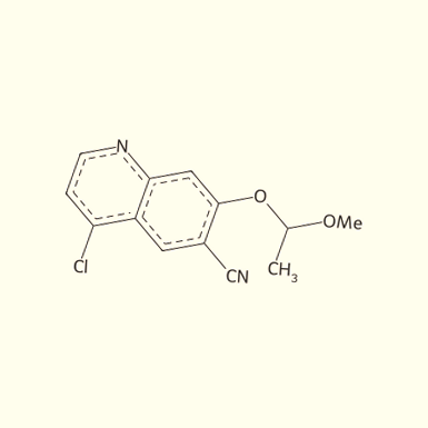 COC(C)Oc1cc2nccc(Cl)c2cc1C#N